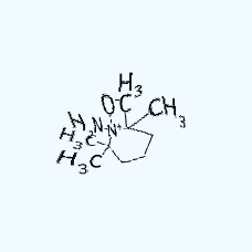 CC1(C)CCCC(C)(C)[N+]1(N)[O-]